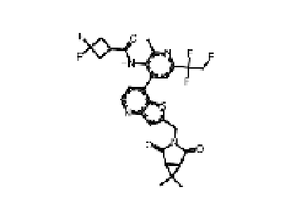 Cc1nc(C(F)(F)CF)cc(-c2ccnc3cc(CN4C(=O)C5C(C4=O)C5(C)C)sc23)c1NC(=O)C1CC(F)(F)C1